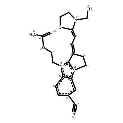 CCN1CCSC1=CC=C1CCn2c1[n+](CCOC(C)=O)c1ccc(C#N)cc12